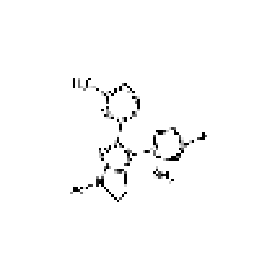 CC(=O)N1CCn2c1nc(-c1cccc(C)n1)c2-c1ccc(F)cc1N